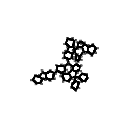 c1ccc(C2(c3ccccc3)c3ccccc3-c3c(N(c4ccc(-c5ccc6c(c5)sc5ccccc56)cc4)c4ccc5c(c4)C4(c6ccccc6-5)c5ccccc5-n5c6ccccc6c6cccc4c65)cccc32)cc1